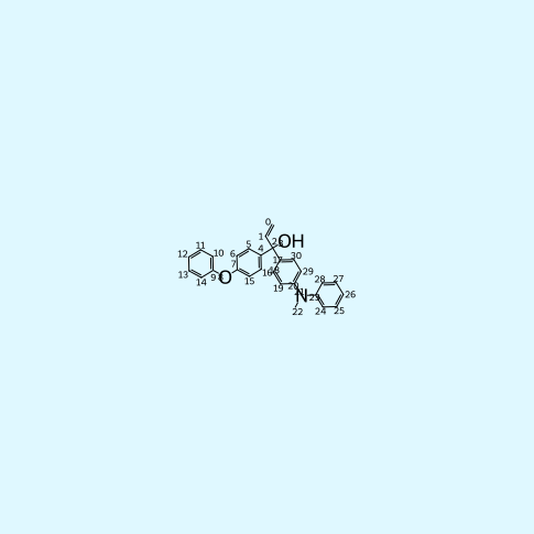 C=CC(O)(c1ccc(Oc2ccccc2)cc1)c1ccc(N(C)c2ccccc2)cc1